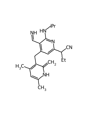 C=C1NC(C)=CC(C)=C1Cc1cc(C(C#N)CC)nc(NC(C)C)c1C=N